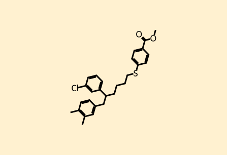 COC(=O)c1ccc(SCCCCC(Cc2ccc(C)c(C)c2)c2cccc(Cl)c2)cc1